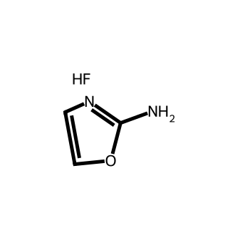 F.Nc1ncco1